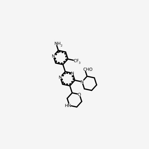 Nc1cc(C(F)(F)F)c(-c2ncc(C3CNCCO3)c(N3CCCCC3C=O)n2)cn1